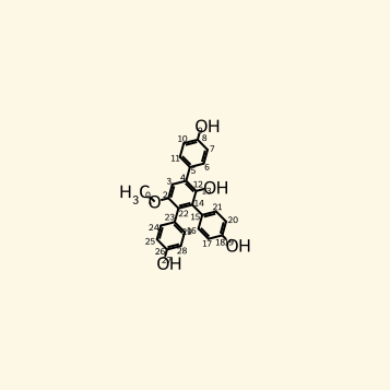 COc1cc(-c2ccc(O)cc2)c(O)c(-c2ccc(O)cc2)c1-c1ccc(O)cc1